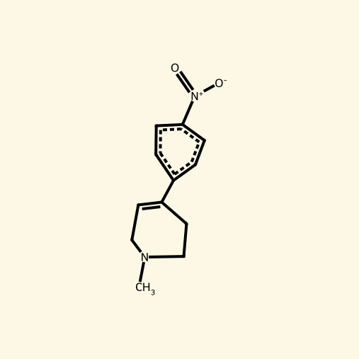 CN1CC=C(c2ccc([N+](=O)[O-])cc2)CC1